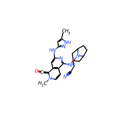 Cc1cc(Nc2cc3c(c(NC4CC5CCC(C4)N5CCC#N)n2)C=CN(C)C3=C=O)n[nH]1